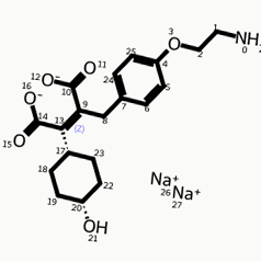 NCCOc1ccc(C/C(C(=O)[O-])=C(/C(=O)[O-])[C@H]2CC[C@@H](O)CC2)cc1.[Na+].[Na+]